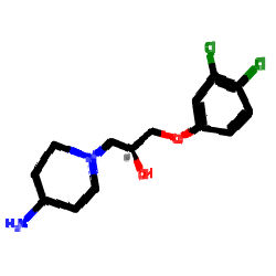 NC1CCN(C[C@H](O)COc2ccc(Cl)c(Cl)c2)CC1